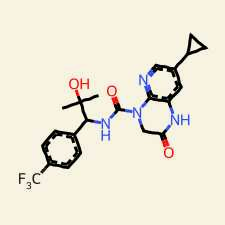 CC(C)(O)C(NC(=O)N1CC(=O)Nc2cc(C3CC3)cnc21)c1ccc(C(F)(F)F)cc1